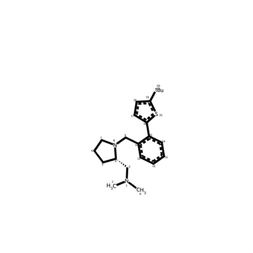 CN(C)C[C@@H]1CCCN1Cc1ccccc1-c1ccc(C(C)(C)C)s1